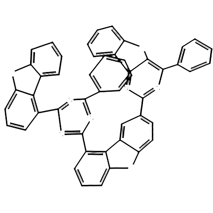 c1ccc(-c2nc(-c3cccc4oc5ccc(-c6nc(-c7ccccc7)c7oc8ccccc8c7n6)cc5c34)nc(-c3cccc4sc5ccccc5c34)n2)cc1